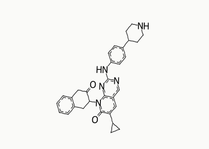 O=C1Cc2ccccc2CC1n1c(=O)c(C2CC2)cc2cnc(Nc3ccc(C4CCNCC4)cc3)nc21